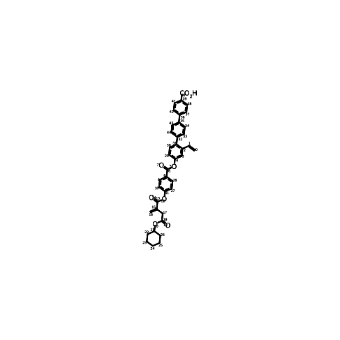 C=Cc1cc(OC(=O)c2ccc(OC(=O)C(=C)CC(=O)OC3CCCCC3)cc2)ccc1-c1ccc(-c2ccc(C(=O)O)cc2)cc1